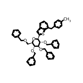 Cc1ccc(Cc2cccc3cc([C@@H]4O[C@H](COCc5ccccc5)[C@@H](OCc5ccccc5)[C@H](OCc5ccccc5)[C@H]4OCc4ccccc4)sc23)cc1